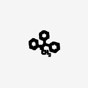 CN(c1ccccc1)C(c1ccccc1)c1ccccc1